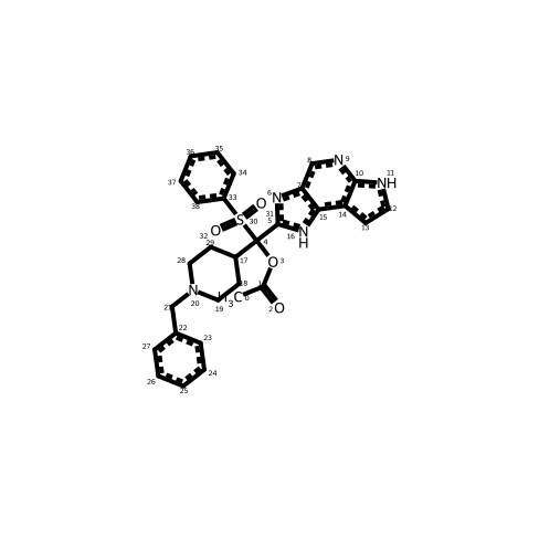 CC(=O)OC(c1nc2cnc3[nH]ccc3c2[nH]1)(C1CCN(Cc2ccccc2)CC1)S(=O)(=O)c1ccccc1